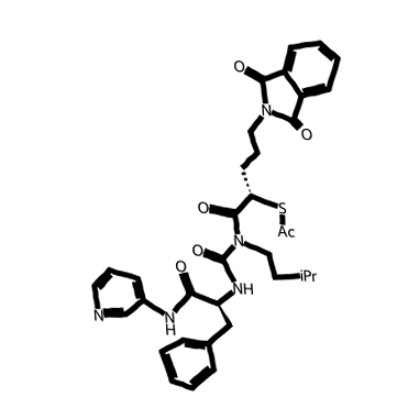 CC(=O)S[C@@H](CCCN1C(=O)c2ccccc2C1=O)C(=O)N(CCC(C)C)C(=O)N[C@@H](Cc1ccccc1)C(=O)Nc1cccnc1